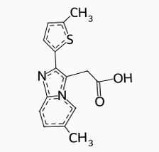 Cc1ccc2nc(-c3ccc(C)s3)c(CC(=O)O)n2c1